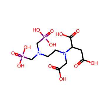 O=C(O)CC(C(=O)O)N(CCN(CP(=O)(O)O)CP(=O)(O)O)CC(=O)O